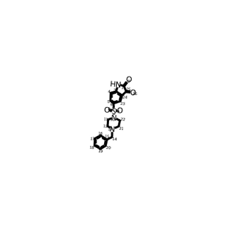 O=C1Nc2ccc(S(=O)(=O)N3CCN(Cc4ccccc4)CC3)cc2C1=O